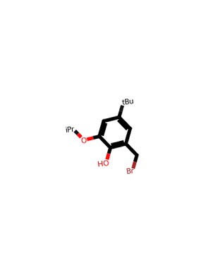 CC(C)Oc1cc(C(C)(C)C)cc(CBr)c1O